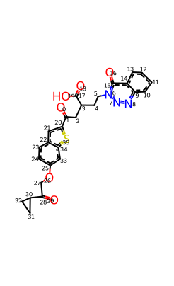 O=C(CC(CCn1nnc2ccccc2c1=O)C(=O)O)c1cc2ccc(OCC(=O)C3CC3)cc2s1